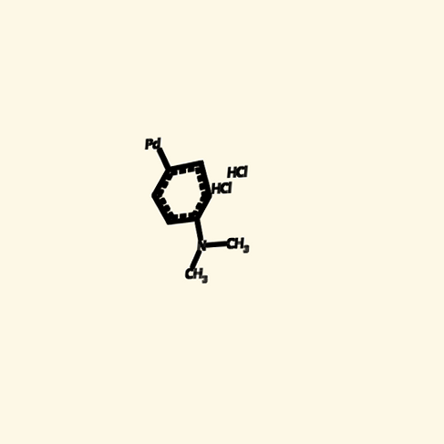 CN(C)c1cc[c]([Pd])cc1.Cl.Cl